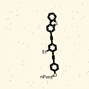 CCCCCOc1ccc(C#Cc2ccc(C#Cc3ccc4c(c3)sc3ccccc34)cc2CC)cc1